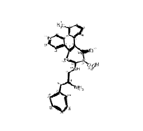 Cc1cccc(-c2c(-c3ccncc3)nc(NCC(N)Cc3ccccc3)n(C)c2=O)c1.Cl